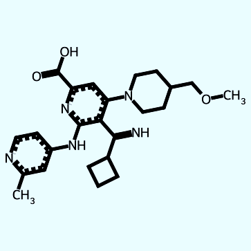 COCC1CCN(c2cc(C(=O)O)nc(Nc3ccnc(C)c3)c2C(=N)C2CCC2)CC1